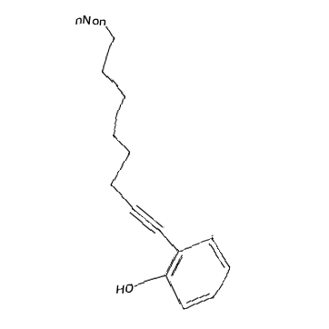 CCCCCCCCCCCCCCCC#Cc1[c]cccc1O